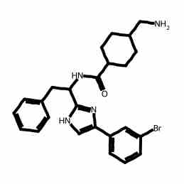 NCC1CCC(C(=O)NC(Cc2ccccc2)c2nc(-c3cccc(Br)c3)c[nH]2)CC1